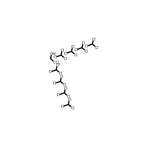 ClC(Cl)Cl.ClC(Cl)Cl.ClC(Cl)Cl.ClC(Cl)Cl.ClC(Cl)Cl.ClC(Cl)Cl.ClC(Cl)Cl.ClC(Cl)Cl.OCC(Cl)(Cl)Cl